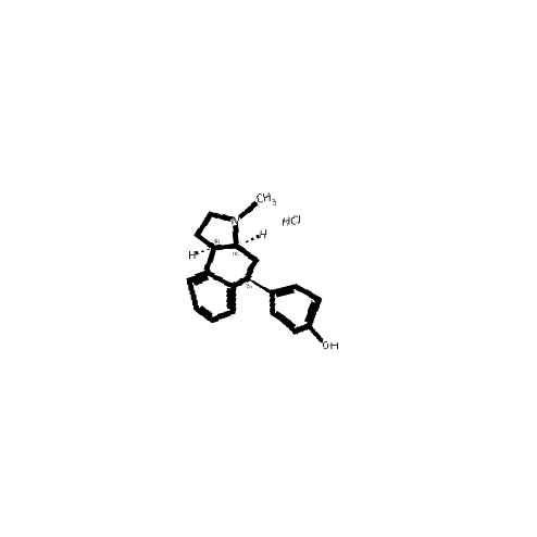 CN1CC[C@@H]2c3ccccc3[C@H](c3ccc(O)cc3)C[C@@H]21.Cl